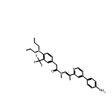 CCCN(CCC)c1ccc(CC(=O)N(C)/C=C(\C)c2cc(-c3ccc(N)cc3)ccn2)cc1C(F)(F)F